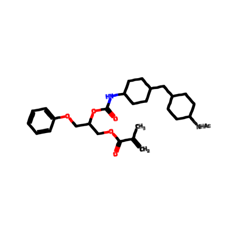 C=C(C)C(=O)OCC(COc1ccccc1)OC(=O)NC1CCC(CC2CCC(NC(C)=O)CC2)CC1